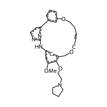 COc1cc2cc(c1OCCN1CCCC1)COC/C=C/CCOc1cccc(c1)-c1ccnc(n1)N2